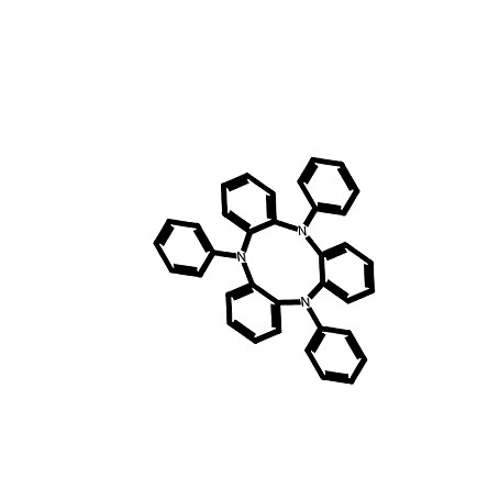 c1ccc(N2c3ccccc3N(c3ccccc3)c3ccccc3N(c3ccccc3)c3ccccc32)cc1